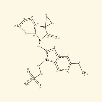 CCc1ccc2c(c1)cc(CN1C(=O)C3(CC3)c3ccncc31)n2CCS(C)(=O)=O